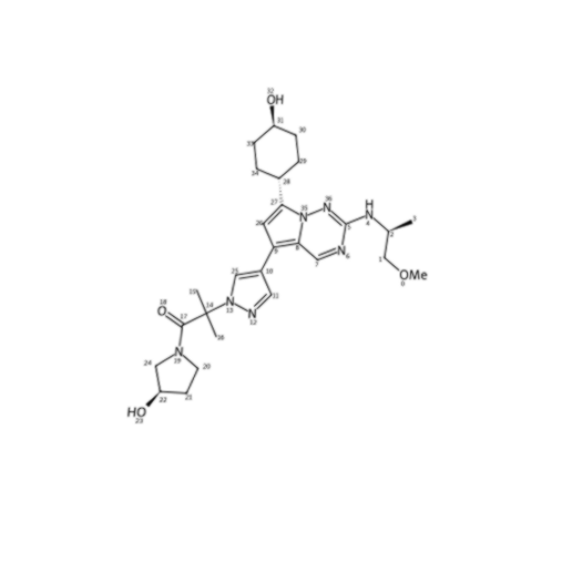 COC[C@H](C)Nc1ncc2c(-c3cnn(C(C)(C)C(=O)N4CC[C@@H](O)C4)c3)cc([C@H]3CC[C@H](O)CC3)n2n1